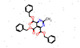 Cc1nc(C(=O)OCc2ccccc2)c(C(=O)OCc2ccccc2)c(C(=O)OCc2ccccc2)n1